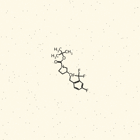 CC(C)(C)OC(=O)N1CCC(OCc2ccc(F)cc2C(F)(F)F)C1